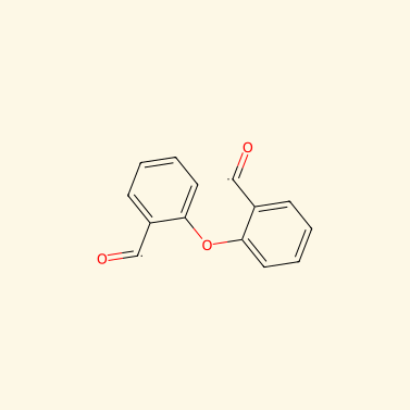 O=[C]c1ccccc1Oc1ccccc1[C]=O